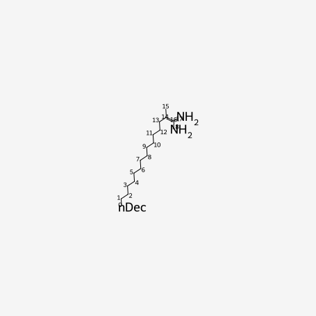 CCCCCCCCCCCCCCCCCCCCCCCC(C)=C(N)N